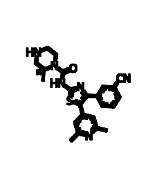 Cc1cc(-c2sc(NC(=O)N3CCNC[C@@H]3C)nc2-c2cccc(C#N)c2)cc(C)n1